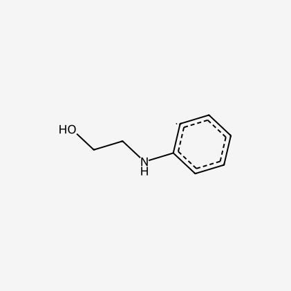 OCCNc1[c]cccc1